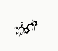 Nn1ccc(Cc2ncc[nH]2)c1C(=O)O